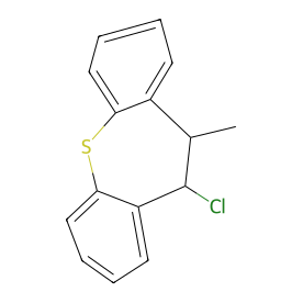 CC1c2ccccc2Sc2ccccc2C1Cl